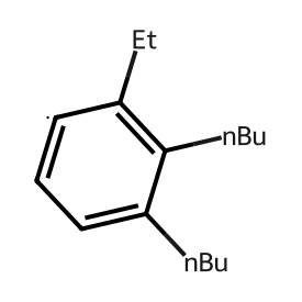 CCCCc1cc[c]c(CC)c1CCCC